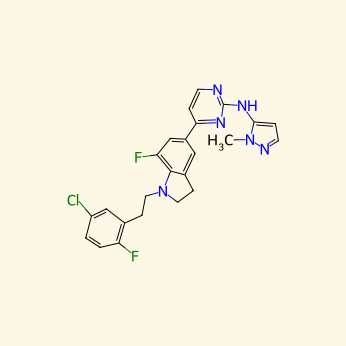 Cn1nccc1Nc1nccc(-c2cc(F)c3c(c2)CCN3CCc2cc(Cl)ccc2F)n1